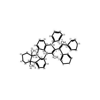 CC1=C(/C(C2=CCCC=C2)=C(\C)C2=CCCC=C2)N(c2ccccc2)c2cccc3c2B1c1cccc2c1N3C1(C)CCCCC21C